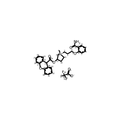 C[N+]1(CCCOc2ccccc2C(N)=O)CCC(OC(=O)C2c3ccccc3Oc3ccccc32)C1.O=C([O-])C(F)(F)F